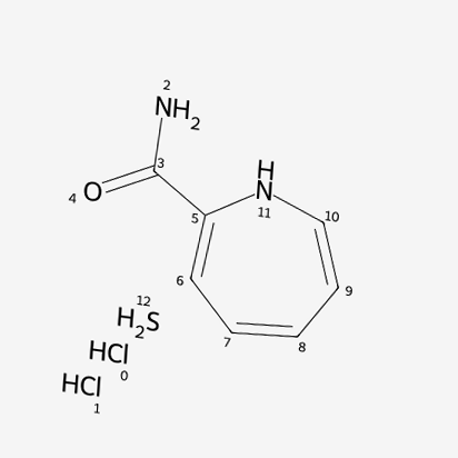 Cl.Cl.NC(=O)C1=CC=CC=CN1.S